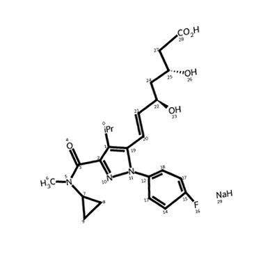 CC(C)c1c(C(=O)N(C)C2CC2)nn(-c2ccc(F)cc2)c1/C=C/[C@H](O)C[C@@H](O)CC(=O)O.[NaH]